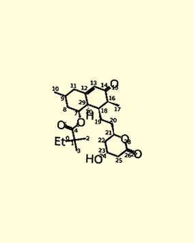 CCC(C)(C)C(=O)O[C@H]1CC(C)CC2=CC(=O)[C@@H](C)[C@@H](CC[C@@H]3C[C@@H](O)CC(=O)O3)[C@H]21